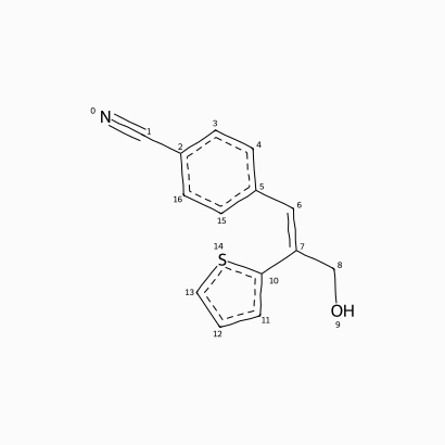 N#Cc1ccc(C=C(CO)c2cccs2)cc1